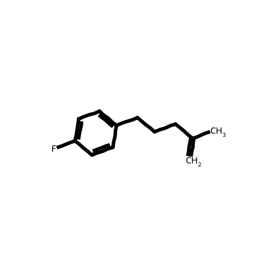 C=C(C)CCCc1ccc(F)cc1